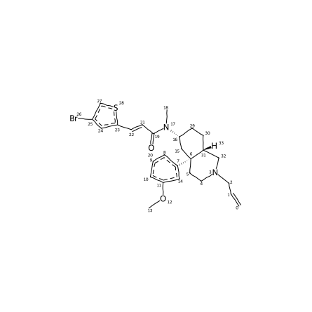 C=CCN1CC[C@@]2(c3cccc(OC)c3)C[C@H](N(C)C(=O)/C=C/c3cc(Br)cs3)CC[C@@H]2C1